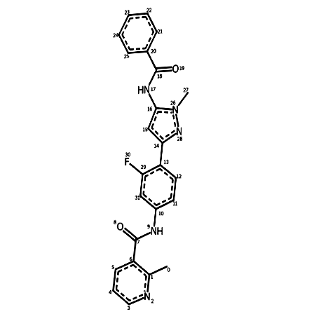 Cc1ncccc1C(=O)Nc1ccc(-c2cc(NC(=O)c3ccccc3)n(C)n2)c(F)c1